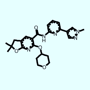 Cn1cc(-c2cccc(NC(=O)c3cc4c(nc3OC3CCOCC3)OC(C)(C)C4)n2)cn1